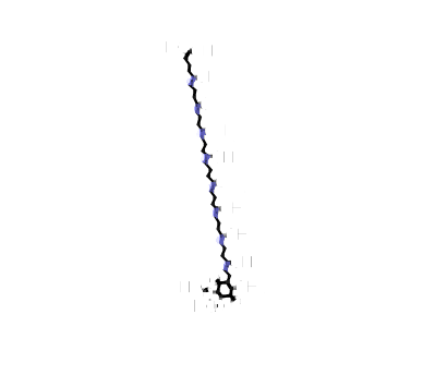 COC1=C(OC)C(=O)C(C/C=C(\C)CC/C=C(\C)CC/C=C(\C)CC/C=C(\C)CC/C=C(\C)CC/C=C(\C)CC/C=C(\C)CC/C=C(\C)CCC=C(C)C)=C(C)C1=O